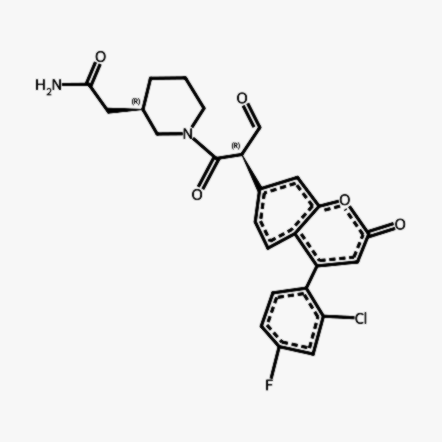 NC(=O)C[C@H]1CCCN(C(=O)[C@@H](C=O)c2ccc3c(-c4ccc(F)cc4Cl)cc(=O)oc3c2)C1